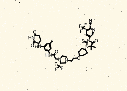 CC1(C)C(=O)N(c2cnc(C#N)c(C(F)(F)F)c2)C(=S)N1[C@H]1CC[C@H](OCCN2CCN(CC(=O)Nc3cc(F)cc(NC4CCC(=O)NC4=O)c3)[C@@H](C(F)(F)F)C2)CC1